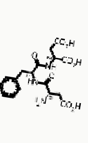 N[C@@H](CC(=O)O)C(=O)N[C@@H](Cc1ccccc1)C(=O)N[C@@H](CC(=O)O)C(=O)O